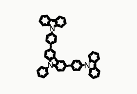 c1ccc(-n2c3ccc(-c4ccc(-n5c6ccccc6c6ccccc65)cc4)cc3c3cc(-c4ccc(-n5c6ccccc6c6ccccc65)cc4)ccc32)cc1